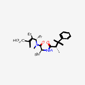 CCC(=C(C)C(=O)O)[C@H](C(C)C)N(C)C(=O)[C@@H](NC(=O)[C@@H](C)C(C)(C)c1ccccc1)C(C)(C)C